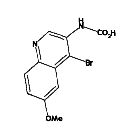 COc1ccc2ncc(NC(=O)O)c(Br)c2c1